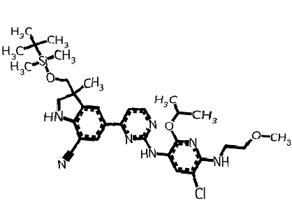 COCCNc1nc(OC(C)C)c(Nc2nccc(-c3cc(C#N)c4c(c3)C(C)(CO[Si](C)(C)C(C)(C)C)CN4)n2)cc1Cl